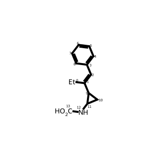 CC/C(=C\c1ccccc1)C1CC1NC(=O)O